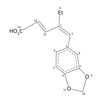 CCC(=C/c1ccc2c(c1)OCO2)/C=C/C(=O)O